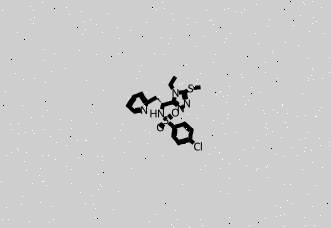 CCn1c(SC)nnc1[C@@H](Cc1ccccn1)NS(=O)(=O)c1ccc(Cl)cc1